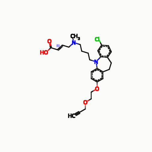 C#CCOCCOc1ccc2c(c1)CCc1ccc(Cl)cc1N2CCCCN(C)C/C=C/C(=O)O